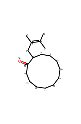 CC(C)=C(C)CC1CCCCCCCCCCC1=O